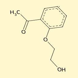 CC(=O)c1c[c]ccc1OCCO